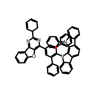 C1=CCC(c2nc(-c3cc(-c4ccccc4)c(-n4c5ccccc5c5ccc6c7ccccc7n(-c7ccccc7)c6c54)c(-c4ccccc4)c3)c3oc4ccccc4c3n2)C=C1